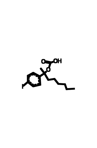 CCCCCCC(C)(OC(=O)O)c1ccc(I)cc1